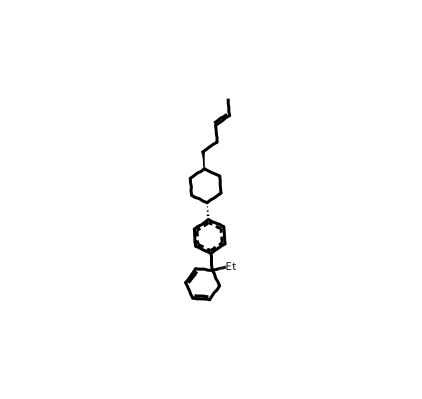 C/C=C/CC[C@H]1CC[C@H](c2ccc(C3(CC)C=CC=CC3)cc2)CC1